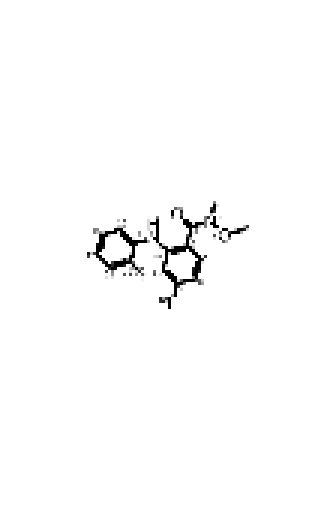 CON(C)C(=O)c1ccc(F)cc1Nc1ccccc1F